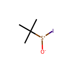 CC(C)(C)[S+]([O-])I